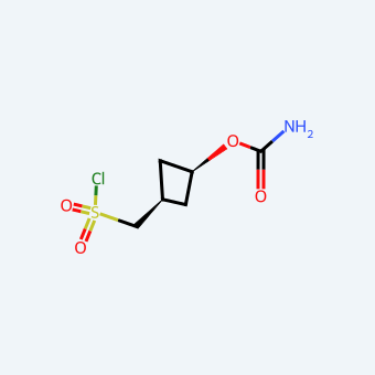 NC(=O)O[C@H]1C[C@@H](CS(=O)(=O)Cl)C1